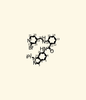 CC(C)n1ncc2ccc(NC(=O)c3ccccc3NCc3ccnc(Br)c3)cc21